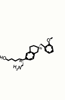 COc1ccccc1C[C@H]1CCc2cc([C@H](CN)CCCCO)ccc2C1